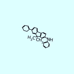 CC1(C)c2cc(Nc3ccccc3)ccc2-c2ccc(C3=CC=CCC3)cc21